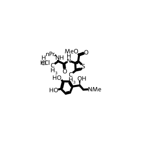 CCCNC(C)C(=O)Nc1c(C)csc1C(=O)OC.CNC[C@H](O)c1ccc(O)c(O)c1.Cl.Cl